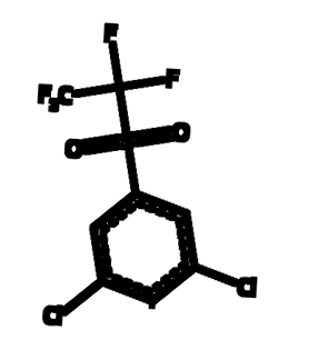 O=S(=O)(c1cc(Cl)[c]c(Cl)c1)C(F)(F)C(F)(F)F